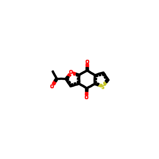 CC(=O)c1cc2c(o1)C(=O)c1ccsc1C2=O